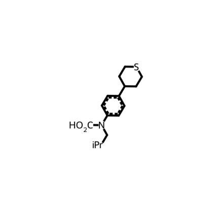 CC(C)CN(C(=O)O)c1ccc(C2CCSCC2)cc1